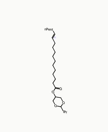 CCCCC/C=C/CCCCCCCCCCC(=O)OC1COC(C(C)C)OC1